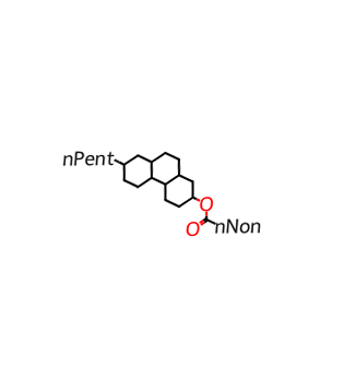 CCCCCCCCCC(=O)OC1CCC2C(CCC3CC(CCCCC)CCC32)C1